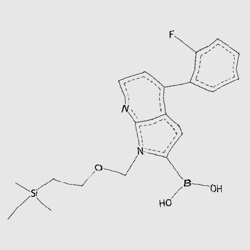 C[Si](C)(C)CCOCn1c(B(O)O)cc2c(-c3ccccc3F)ccnc21